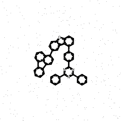 c1ccc(-c2nc(-c3ccccc3)nc(-c3ccc(-c4cccc5oc6ccc(-c7ccc8c9c(cccc79)-c7ccccc7-8)cc6c45)cc3)n2)cc1